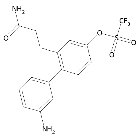 NC(=O)CCc1cc(OS(=O)(=O)C(F)(F)F)ccc1-c1cccc(N)c1